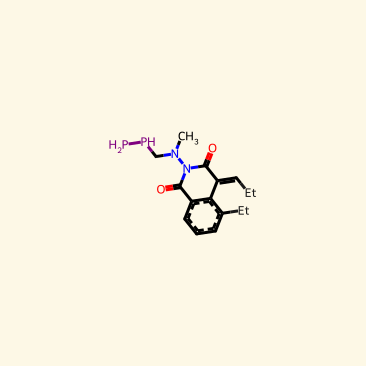 CC/C=C1/C(=O)N(N(C)CPP)C(=O)c2cccc(CC)c21